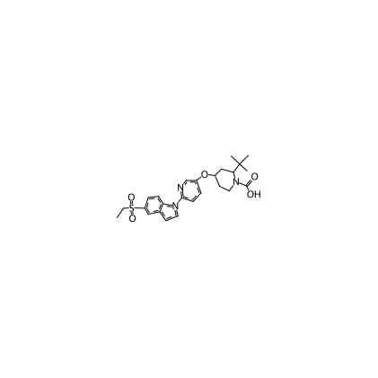 CCS(=O)(=O)c1ccc2c(ccn2-c2ccc(OC3CCN(C(=O)O)C(C(C)(C)C)C3)cn2)c1